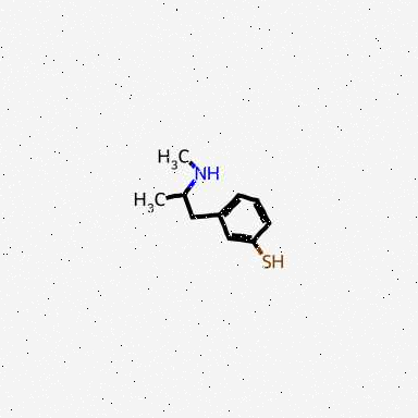 CNC(C)Cc1cccc(S)c1